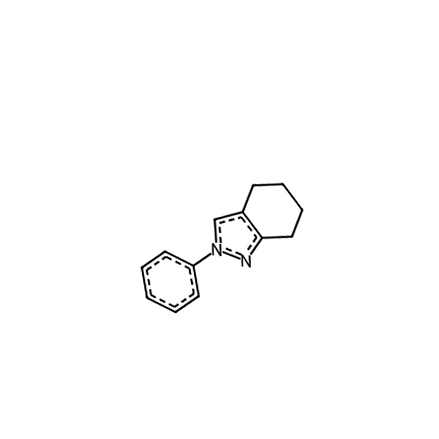 c1ccc(-n2cc3c(n2)CCCC3)cc1